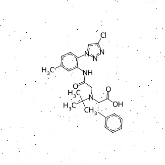 Cc1ccc(-n2cc(Cl)nn2)c(NC(=O)CN([C@@H](Cc2ccccc2)C(=O)O)C(C)(C)C)c1